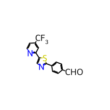 O=Cc1ccc(-c2ncc(-c3cc(C(F)(F)F)ccn3)s2)cc1